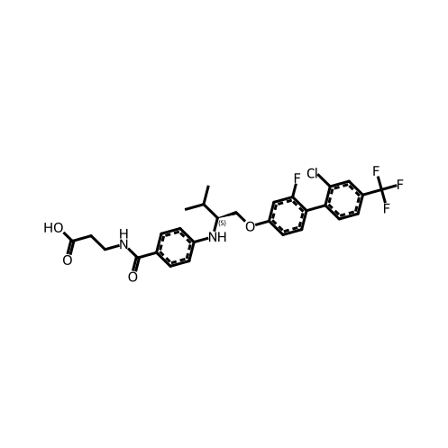 CC(C)[C@@H](COc1ccc(-c2ccc(C(F)(F)F)cc2Cl)c(F)c1)Nc1ccc(C(=O)NCCC(=O)O)cc1